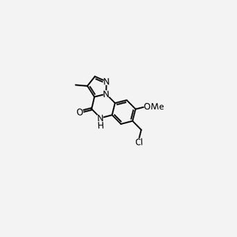 COc1cc2c(cc1CCl)[nH]c(=O)c1c(C)cnn12